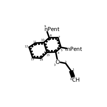 C#CCOc1c(CCCCC)cc(CCCCC)c2ccccc12